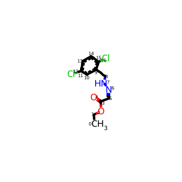 CCOC(=O)/C=N\NCc1cc(Cl)ccc1Cl